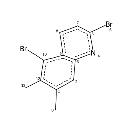 Cc1cc2nc(Br)ccc2c(Br)c1C